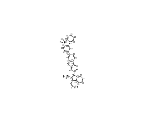 CC/C=C\c1c(N)n(-c2ccc3c(c2)sc2cc(-c4ccc5c(c4)-c4ccccc4C5(C)C)ccc23)c2ccccc12